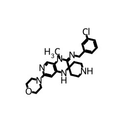 CN1/C(=N/Cc2cccc(Cl)c2)C2(CCNCC2)Nc2cc(N3CCOCC3)ncc21